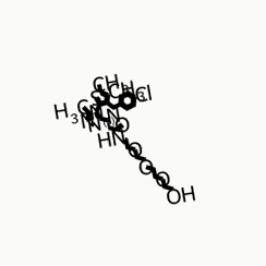 Cc1sc2c(c1C)C(c1ccc(Cl)cc1)=N[C@@H](CC(=O)NCCOCCOCCOCCO)c1nnc(C)n1-2